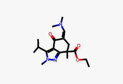 CCOC(=O)C1(C)C/C(=C/N(C)C)C(=O)c2c1nn(C)c2C(C)C